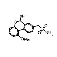 CCCC1Oc2cccc(OC)c2-c2ccc(CS(N)(=O)=O)cc21